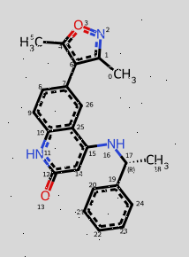 Cc1noc(C)c1-c1ccc2[nH]c(=O)cc(N[C@H](C)c3ccccc3)c2c1